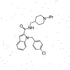 CC(C)N1CCC(CNC(=O)c2cc3ccccc3n2Cc2ccc(Cl)cc2)CC1